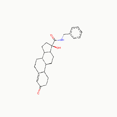 O=C1C=C2CCC3C(CCC4C3CC[C@]4(O)C(=O)NCc3ccccc3)C2CC1